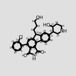 O=C1NC(=O)c2c1c(-c1ccccc1Cl)cc1c2-c2ccc(C3CNCCC3O)cc2C1CCCO